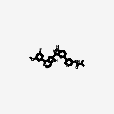 COc1cc(F)cc(-c2nccc3[nH]c(-c4n[nH]c5ccc(-c6cncc(NC(=O)C(C)C)c6)cc45)cc23)c1